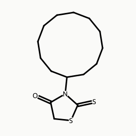 O=C1CSC(=S)N1C1CCCCCCCCCCC1